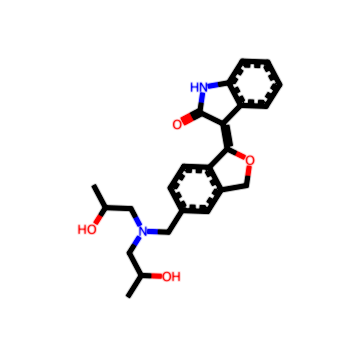 CC(O)CN(Cc1ccc2c(c1)COC2=C1C(=O)Nc2ccccc21)CC(C)O